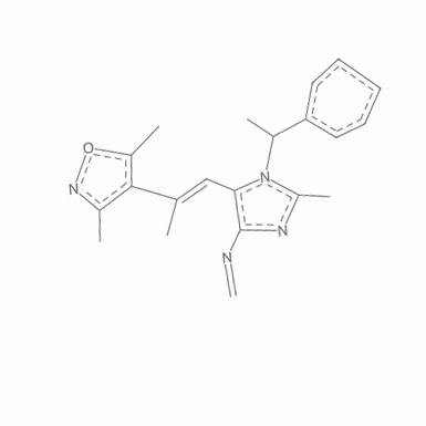 C=Nc1nc(C)n(C(C)c2ccccc2)c1/C=C(\C)c1c(C)noc1C